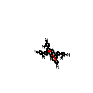 N#Cc1ccc(-c2ccc3c(c2)c2cc(-c4ccc(C#N)cc4C#N)ccc2n3-c2ccc(C(F)(F)F)cc2-c2c(C#N)cccc2-n2c3ccc(-c4ccc(C#N)cc4C#N)cc3c3cc(-c4ccc(C#N)cc4C#N)ccc32)c(C#N)c1